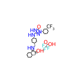 O=C(O)C(F)(F)F.O=c1[nH]c(Nc2ccc(CN[C@@H]3c4ccccc4C[C@@H]3O)cc2)nn1-c1cccc(C(F)(F)F)c1